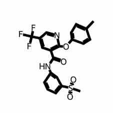 Cc1ccc(Oc2ncc(C(F)(F)F)cc2C(=O)Nc2cccc(S(C)(=O)=O)c2)cc1